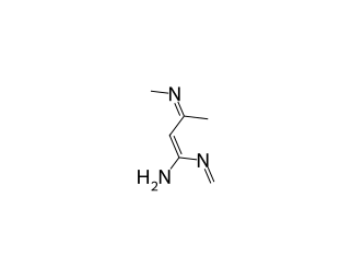 C=N/C(N)=C\C(C)=N/C